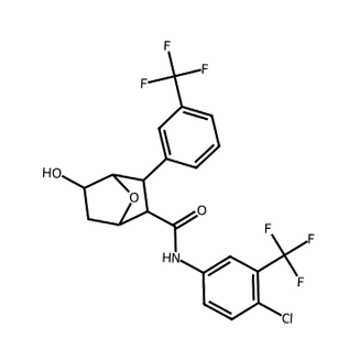 O=C(Nc1ccc(Cl)c(C(F)(F)F)c1)C1C2CC(O)C(O2)C1c1cccc(C(F)(F)F)c1